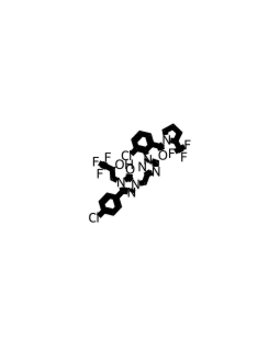 O=C(c1cccc(Cl)c1-n1cnc(Cn2nc(-c3ccc(Cl)cc3)n(C[C@@H](O)C(F)(F)F)c2=O)n1)N1CCCC1C(F)(F)F